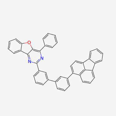 c1ccc(-c2nc(-c3cccc(-c4cccc(-c5ccc6c7c(cccc57)-c5ccccc5-6)c4)c3)nc3c2oc2ccccc23)cc1